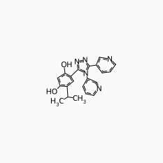 CC(C)c1cc(-c2nnc(-c3cccnc3)n2-c2cccnc2)c(O)cc1O